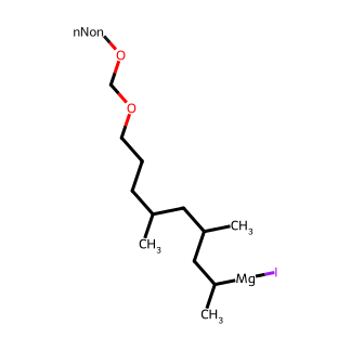 CCCCCCCCCOCOCCCC(C)CC(C)C[CH](C)[Mg][I]